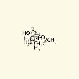 CC(C)OCCC1(NC(C)(C)C)CCC(O)C1